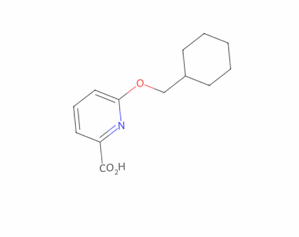 O=C(O)c1cccc(OCC2CCCCC2)n1